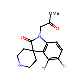 COC(=O)CN1C(=O)C2(CCNCC2)c2c1ccc(Cl)c2Cl